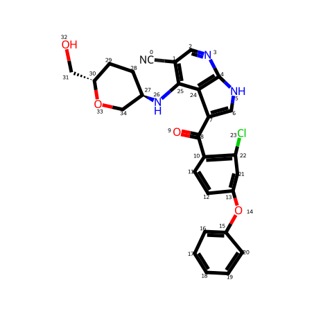 N#Cc1cnc2[nH]cc(C(=O)c3ccc(Oc4ccccc4)cc3Cl)c2c1N[C@@H]1CC[C@@H](CO)OC1